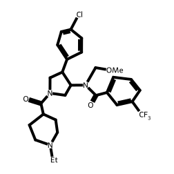 CCN1CCC(C(=O)N2CC(c3ccc(Cl)cc3)C(N(COC)C(=O)c3cccc(C(F)(F)F)c3)C2)CC1